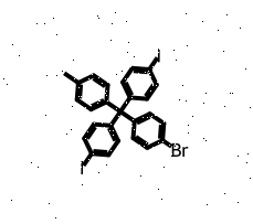 Cc1ccc(C(c2ccc(Br)cc2)(c2ccc(I)cc2)c2ccc(I)cc2)cc1